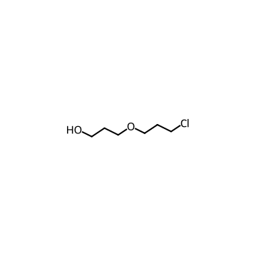 OCCCOCCCCl